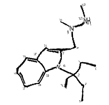 CCC(C)(CC)n1c(CN(C)NC)cc2ccccc21